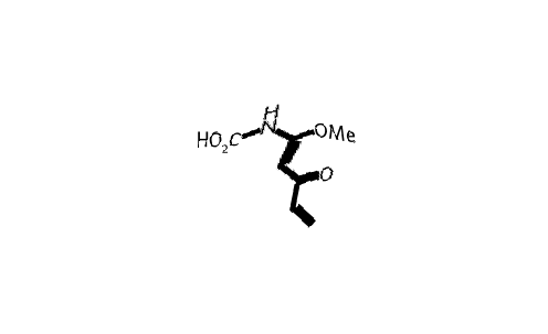 C=CC(=O)C=C(NC(=O)O)OC